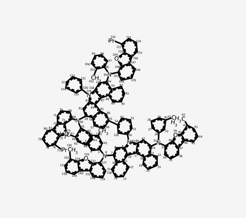 Cc1cccc(N(c2cc3c(c4ccccc24)c2c4ccccc4c(N(c4cccc(C)c4)c4cccc5c4oc4c(C)cccc45)cc2n3-c2cccc(-c3ccc4c(N(c5ccccc5C)c5cccc6c5oc5c(C(C)C)cccc56)cc5c(c4c3)c3c4ccccc4c(N(c4ccccc4C)c4cccc6c4oc4c(C(C)C)cccc46)cc3n5-c3ccccc3)c2)c2cccc3c2oc2c(C)cccc23)c1